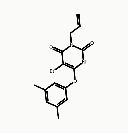 C=CCn1c(=O)[nH]c(Oc2cc(C)cc(C)c2)c(CC)c1=O